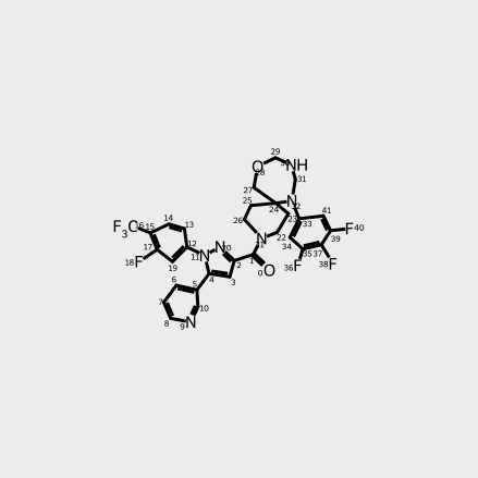 O=C(c1cc(-c2cccnc2)n(-c2ccc(C(F)(F)F)c(F)c2)n1)N1CCC2(CC1)COCNCN2c1cc(F)c(F)c(F)c1